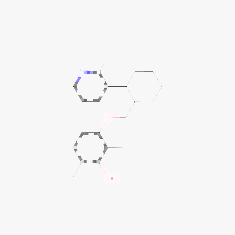 Cc1ccc(OCC2CCCCC2c2cccnc2Cl)c(C=O)c1O